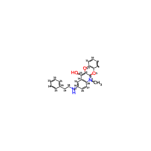 Cn1c(=O)c(Oc2ccccc2)c(O)c2cc(NCCc3ccccc3)ccc21